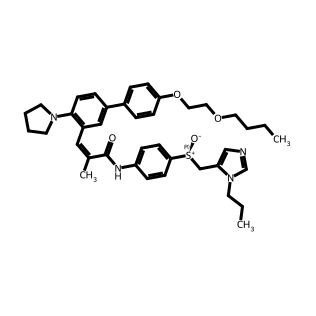 CCCCOCCOc1ccc(-c2ccc(N3CCCC3)c(C=C(C)C(=O)Nc3ccc([S@@+]([O-])Cc4cncn4CCC)cc3)c2)cc1